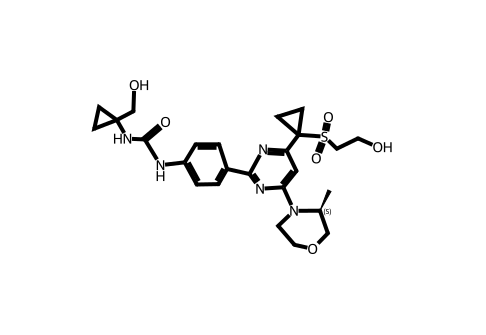 C[C@H]1COCCN1c1cc(C2(S(=O)(=O)CCO)CC2)nc(-c2ccc(NC(=O)NC3(CO)CC3)cc2)n1